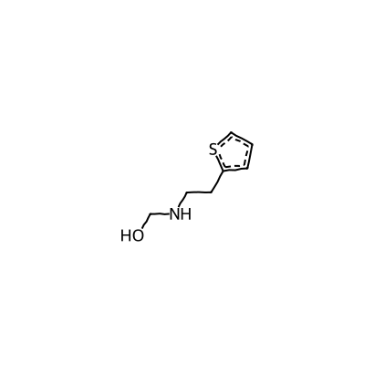 OCNCCc1cccs1